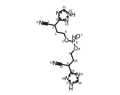 N#CC(CCO[PH](=O)OCCC(C#N)c1nc[nH]n1)c1nc[nH]n1